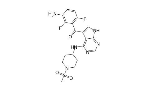 CS(=O)(=O)N1CCC(Nc2ncnc3[nH]cc(C(=O)c4c(F)ccc(N)c4F)c23)CC1